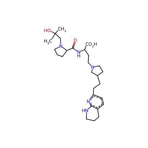 CC(C)(O)CN1CCCC1C(=O)NC(CCN1CCC(CCc2ccc3c(n2)NCCC3)C1)C(=O)O